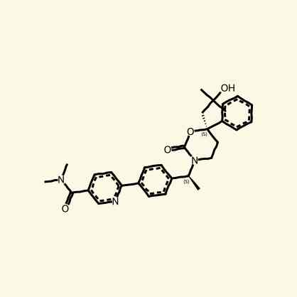 C[C@@H](c1ccc(-c2ccc(C(=O)N(C)C)cn2)cc1)N1CC[C@](CC(C)(C)O)(c2ccccc2)OC1=O